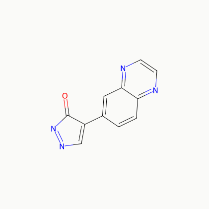 O=C1N=NC=C1c1ccc2nccnc2c1